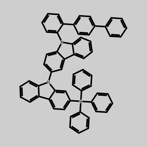 c1ccc(-c2ccc(-c3ccccc3-n3c4ccccc4c4cc(-n5c6ccccc6c6ccc([Si](c7ccccc7)(c7ccccc7)c7ccccc7)cc65)ccc43)cc2)cc1